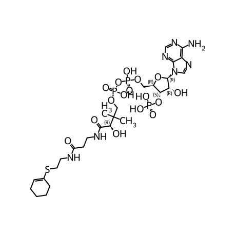 CC(C)(COP(=O)(O)OP(=O)(O)OC[C@H]1O[C@@H](n2cnc3c(N)ncnc32)[C@H](O)[C@@H]1OP(=O)(O)O)[C@@H](O)C(=O)NCCC(=O)NCCSC1=CCCCC1